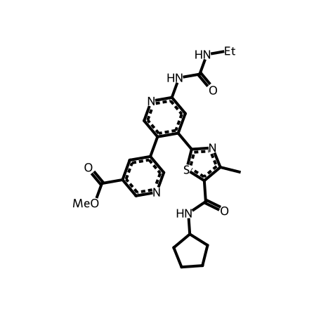 CCNC(=O)Nc1cc(-c2nc(C)c(C(=O)NC3CCCC3)s2)c(-c2cncc(C(=O)OC)c2)cn1